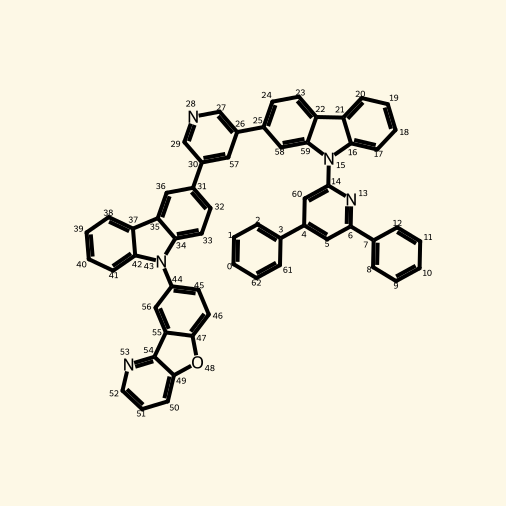 c1ccc(-c2cc(-c3ccccc3)nc(-n3c4ccccc4c4ccc(-c5cncc(-c6ccc7c(c6)c6ccccc6n7-c6ccc7oc8cccnc8c7c6)c5)cc43)c2)cc1